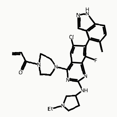 C=CC(=O)N1CCN(c2nc(NC3CCN(CC)C3)nc3c(F)c(-c4c(C)ccc5[nH]ncc45)c(Cl)cc23)CC1